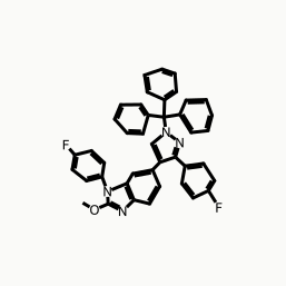 COc1nc2ccc(-c3cn(C(c4ccccc4)(c4ccccc4)c4ccccc4)nc3-c3ccc(F)cc3)cc2n1-c1ccc(F)cc1